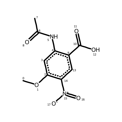 COc1cc(NC(C)=O)c(C(=O)O)cc1[N+](=O)[O-]